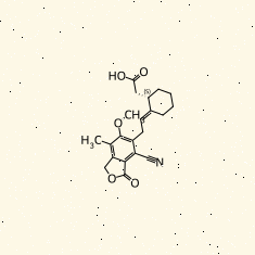 COc1c(C)c2c(c(C#N)c1CC=C1CCCC[C@H]1CC(=O)O)C(=O)OC2